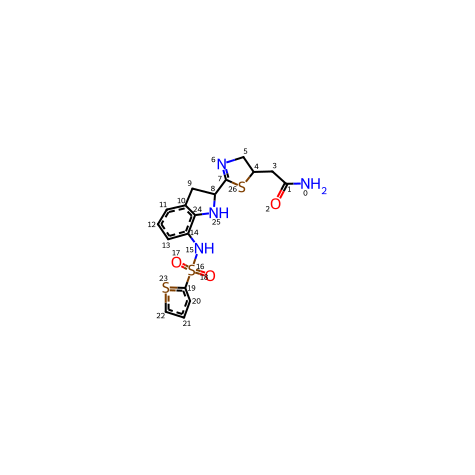 NC(=O)CC1CN=C(C2Cc3cccc(NS(=O)(=O)c4cccs4)c3N2)S1